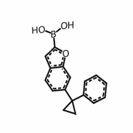 OB(O)c1cc2ccc(C3(c4ccccc4)CC3)cc2o1